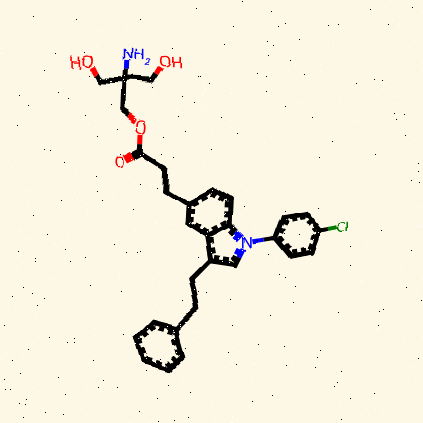 NC(CO)(CO)COC(=O)CCc1ccc2c(c1)c(CCc1ccccc1)cn2-c1ccc(Cl)cc1